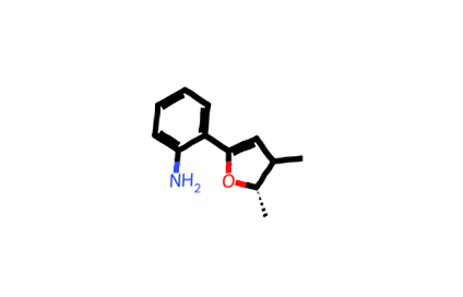 CC1C=C(c2ccccc2N)O[C@H]1C